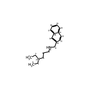 CCN(CC)CCCNCc1ccc2ccccc2c1